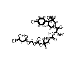 CCC(O)CC(=O)OCOC(=O)OC(C)(C)CNC(=O)N[C@@H](C(=O)N1CC[C@](O)(c2ccc(Cl)cc2)C(C)(C)C1)C(C)C